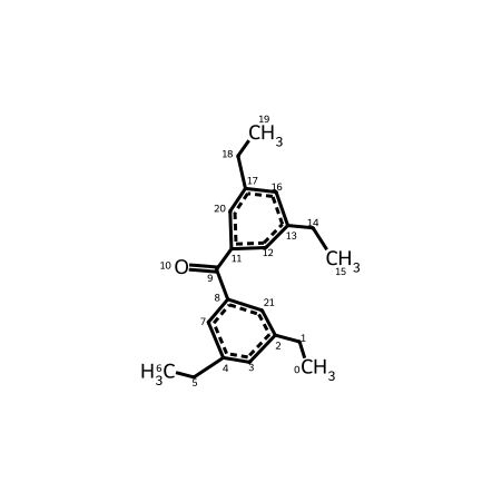 CCc1cc(CC)cc(C(=O)c2cc(CC)cc(CC)c2)c1